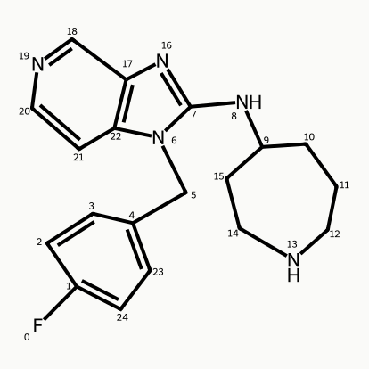 Fc1ccc(Cn2c(NC3CCCNCC3)nc3cnccc32)cc1